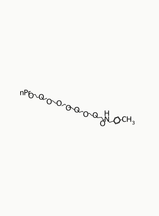 CCCOCCOCCOCCOCCOCCOCCOCCOCCC(=O)NCc1ccc(C)cc1